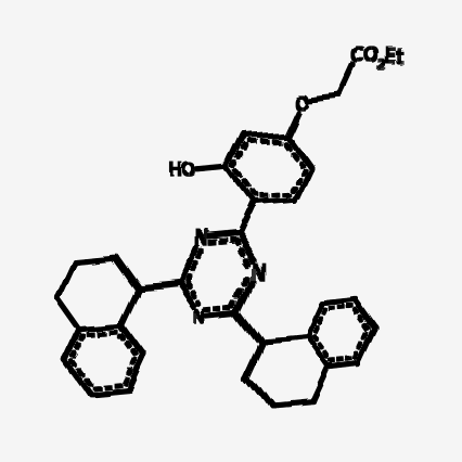 CCOC(=O)COc1ccc(-c2nc(C3CCCc4ccccc43)nc(C3CCCc4ccccc43)n2)c(O)c1